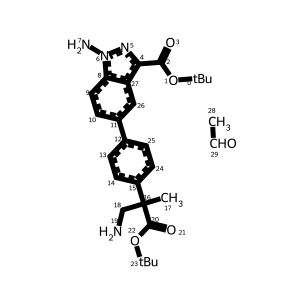 CC(C)(C)OC(=O)c1nn(N)c2ccc(-c3ccc(C(C)(CN)C(=O)OC(C)(C)C)cc3)cc12.CC=O